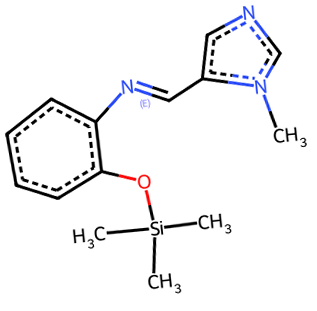 Cn1cncc1/C=N/c1ccccc1O[Si](C)(C)C